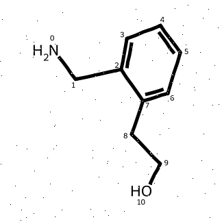 NCc1ccccc1CCO